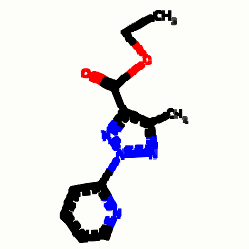 CCOC(=O)c1nn(-c2ccccn2)nc1C